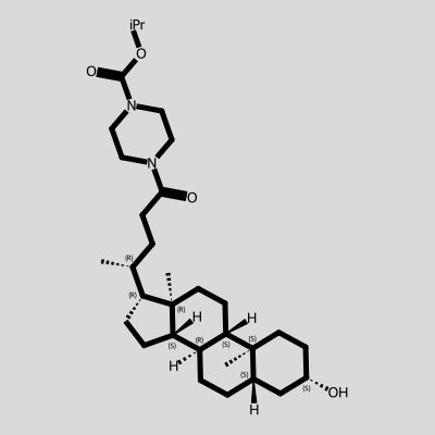 CC(C)OC(=O)N1CCN(C(=O)CC[C@@H](C)[C@H]2CC[C@H]3[C@@H]4CC[C@H]5C[C@@H](O)CC[C@]5(C)[C@H]4CC[C@]23C)CC1